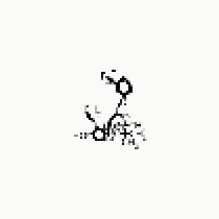 C=CC[C@H]1[C@H](O)CC[C@@H]1/C=C/[C@H](COc1cccc(C(F)(F)F)c1)O[Si](C)(C)C(C)(C)C